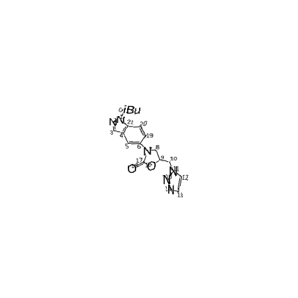 CCC(C)n1ncc2cc(N3CC(Cn4ccnn4)OC3=O)ccc21